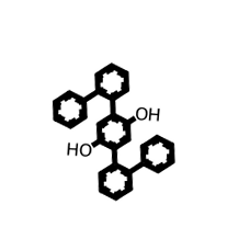 Oc1cc(-c2ccccc2-c2ccccc2)c(O)cc1-c1ccccc1-c1ccccc1